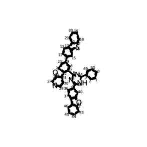 c1ccc(C2N=C(c3cc(-c4ccc5c(c4)sc4ccccc45)cc4oc5cnccc5c34)N=C(c3ccc4c(c3)oc3ccccc34)N2)cc1